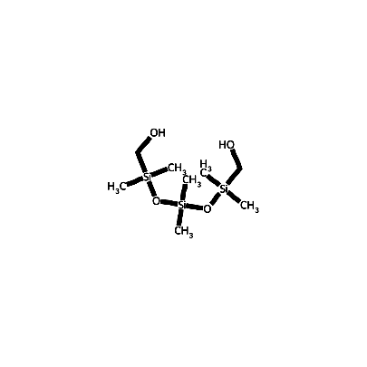 C[Si](C)(CO)O[Si](C)(C)O[Si](C)(C)CO